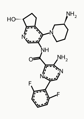 Nc1ncc(-c2c(F)cccc2F)nc1C(=O)Nc1cnc2c(c1N1CCC[C@H](N)C1)CC[C@H]2O